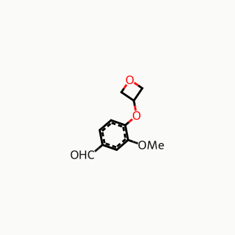 COc1cc(C=O)ccc1OC1COC1